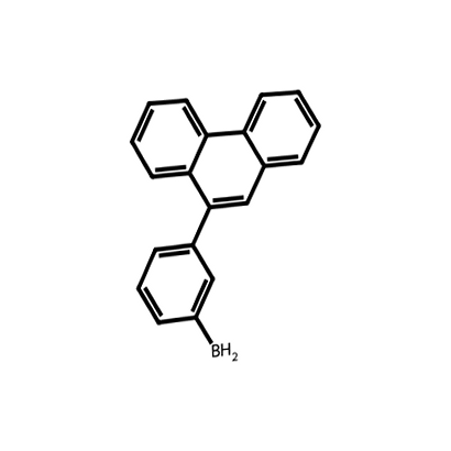 Bc1cccc(-c2cc3ccccc3c3ccccc23)c1